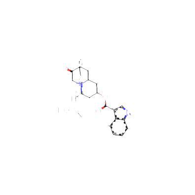 CS(=O)(=O)O.O=C(OC1CC2C[C@@H]3C[C@H](C1)N2CC3=O)c1c[nH]c2ccccc12